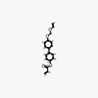 C=COCOc1ccc(-c2ccc(OC(=O)C=C)cc2)cc1